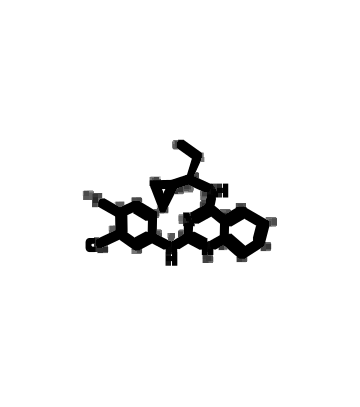 CC[C@@H](Nc1nc(Nc2ccc(F)c(Cl)c2)nc2ccccc12)C1CC1